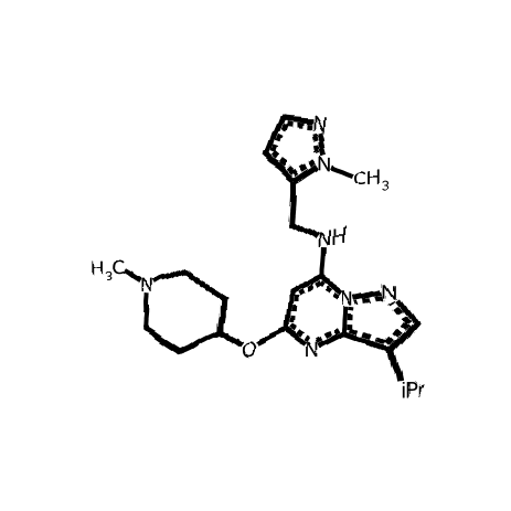 CC(C)c1cnn2c(NCc3ccnn3C)cc(OC3CCN(C)CC3)nc12